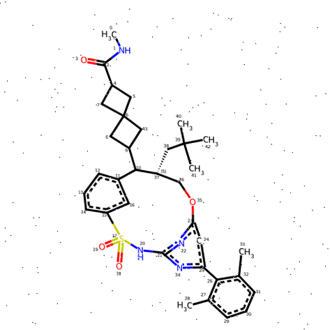 CNC(=O)C1CC2(C1)CC(C1c3cccc(c3)S(=O)(=O)Nc3nc(cc(-c4c(C)cccc4C)n3)OC[C@H]1CC(C)(C)C)C2